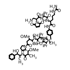 CCC(C)C(C(CC(=O)N1CCC[C@H]1C(OC)C(C)C(=O)NC(C)C(O)c1ccccc1)OC)N(C)C(=O)C(NC(=O)C(C(C)C)[N+](C)(C)Cc1ccc(NC(=O)C(CCCNC(N)=O)NC(=O)C(NC(=O)C(CN)N2C(=O)C=CC2=O)C(C)C)cc1)C(C)C